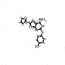 Nc1nc(Cc2ccc(Cl)cc2)nc2oc(-c3ccco3)nc12